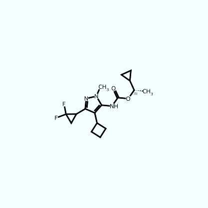 C[C@H](OC(=O)Nc1c(C2CCC2)c(C2CC2(F)F)nn1C)C1CC1